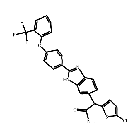 NC(=O)C(c1ccc2nc(-c3ccc(Oc4ccccc4C(F)(F)F)cc3)[nH]c2c1)c1ccc(Cl)s1